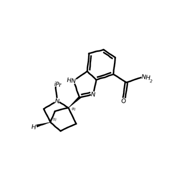 CC(C)N1C[C@H]2CC[C@]1(c1nc3c(C(N)=O)cccc3[nH]1)C2